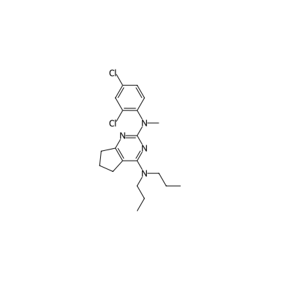 CCCN(CCC)c1nc(N(C)c2ccc(Cl)cc2Cl)nc2c1CCC2